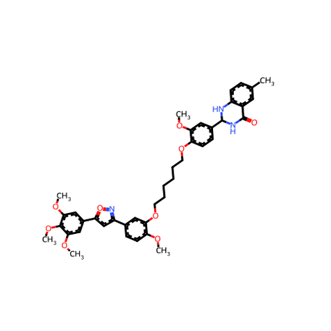 COc1cc(C2NC(=O)c3cc(C)ccc3N2)ccc1OCCCCCCOc1cc(-c2cc(-c3cc(OC)c(OC)c(OC)c3)on2)ccc1OC